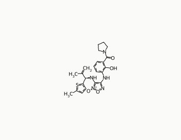 C=C(C)[C@@H](Nc1c(Nc2cccc(C(=O)N3CCCC3)c2O)no[n+]1[O-])c1ccc(C)s1